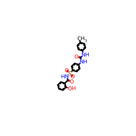 Cc1ccc(NC(=O)Nc2ccc(S(=O)(=O)NC(=O)c3ccccc3O)cc2)cc1